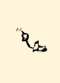 COc1ccc(CN2CCc3n[c]sc3C2)cc1